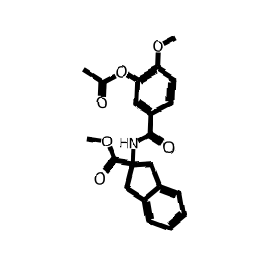 COC(=O)C1(NC(=O)c2ccc(OC)c(OC(C)=O)c2)Cc2ccccc2C1